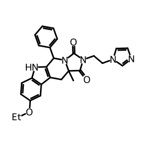 CCOc1ccc2[nH]c3c(c2c1)CC1(C)C(=O)N(CCn2ccnc2)C(=O)N1C3c1ccccc1